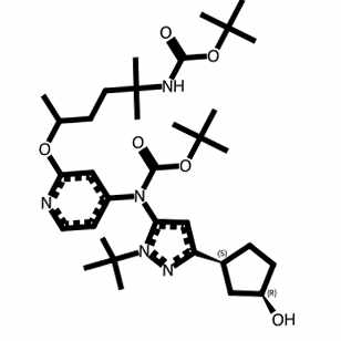 CC(CCC(C)(C)NC(=O)OC(C)(C)C)Oc1cc(N(C(=O)OC(C)(C)C)c2cc([C@H]3CC[C@@H](O)C3)nn2C(C)(C)C)ccn1